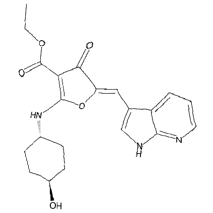 CCOC(=O)C1=C(N[C@H]2CC[C@H](O)CC2)OC(=Cc2c[nH]c3ncccc23)C1=O